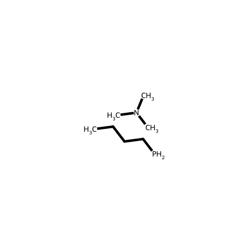 CCCCP.CN(C)C